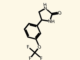 O=C1NCC(c2cccc(OC(F)(F)F)c2)N1